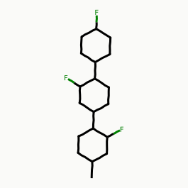 CC1CCC(C2CCC(C3CCC(F)CC3)C(F)C2)C(F)C1